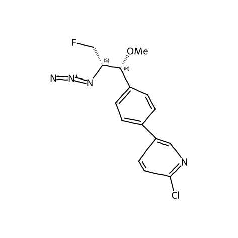 CO[C@H](c1ccc(-c2ccc(Cl)nc2)cc1)[C@@H](CF)N=[N+]=[N-]